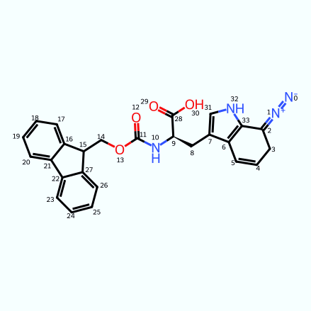 [N-]=[N+]=C1CC=Cc2c(C[C@@H](NC(=O)OCC3c4ccccc4-c4ccccc43)C(=O)O)c[nH]c21